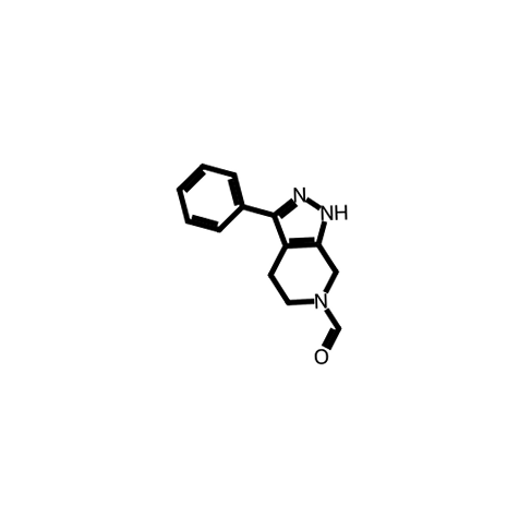 O=CN1CCc2c(-c3ccccc3)n[nH]c2C1